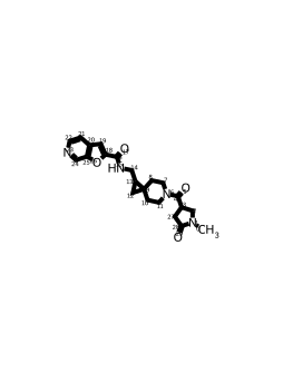 CN1CC(C(=O)N2CCC3(CC2)CC3CNC(=O)c2cc3ccncc3o2)CC1=O